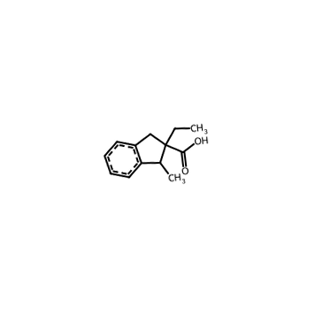 CCC1(C(=O)O)Cc2ccccc2C1C